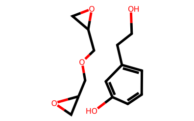 C(OCC1CO1)C1CO1.OCCc1cccc(O)c1